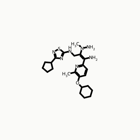 Cc1nc(/C(N)=C(\CNc2nc(C3CCCC3)ns2)N(C)N)ccc1OC1CCCCC1